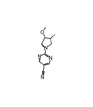 COC1CN(c2ncc(C#N)cn2)CC1C